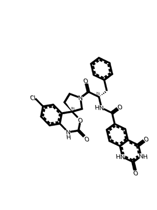 O=C1Nc2ccc(Cl)cc2[C@@]2(CCN(C(=O)[C@H](Cc3ccccc3)NC(=O)c3ccc4[nH]c(=O)[nH]c(=O)c4c3)C2)O1